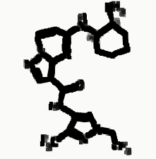 N[C@H]1CCCC[C@H]1Nc1ccn2ncc(C(=O)Nc3cn(CC(F)(F)F)nc3C(F)(F)F)c2n1